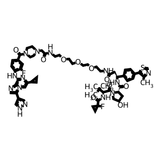 Cc1ncsc1-c1ccc([C@H](CC(=O)NCCOCCOCCOCCNC(=O)CN2CCN(C(=O)c3ccc(Nc4nc(C5CC5)cn5c(-c6cn[nH]c6)cnc45)c(F)c3)CC2)NC(=O)[C@@H]2C[C@@H](O)CN2C(=O)[C@@H](NC(=O)C2(F)CC2)C(C)(C)C)cc1